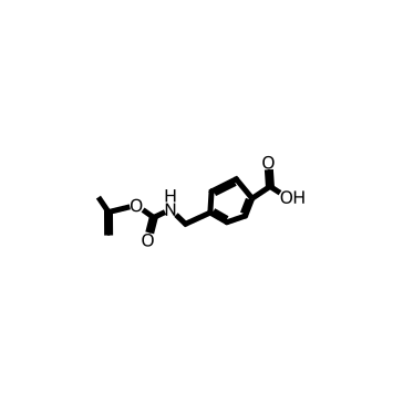 C=C(C)OC(=O)NCc1ccc(C(=O)O)cc1